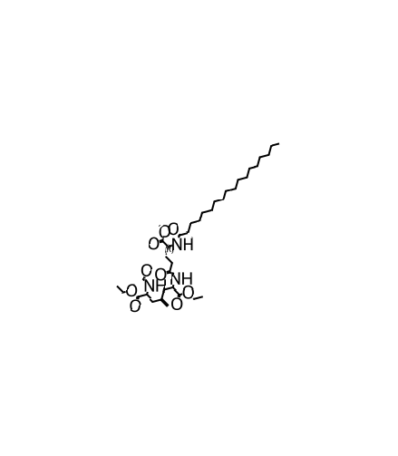 C=C(CC(NC=O)C(=O)OCC)CC(NC(=O)CC[C@@H](NC(=O)CCCCCCCCCCCCCCCCC)C(=O)OC)C(=O)OCC